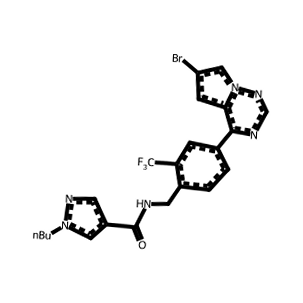 CCCCn1cc(C(=O)NCc2ccc(-c3ncnn4cc(Br)cc34)cc2C(F)(F)F)cn1